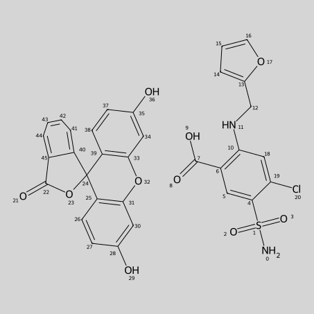 NS(=O)(=O)c1cc(C(=O)O)c(NCc2ccco2)cc1Cl.O=C1OC2(c3ccc(O)cc3Oc3cc(O)ccc32)c2ccccc21